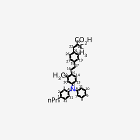 CCCc1ccc(N(c2ccccc2)c2ccc(C=Cc3ccc(/C=C(\C)C(=O)O)cc3)c(C)c2)cc1